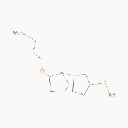 CSCCCOC1CC2CC1C1CC(SC(C)=O)CC21